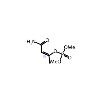 COP(=O)(OC)O/C(C)=C\C(N)=O